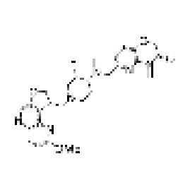 COc1ccc2ncc3c(c2n1)C(CN1CC[C@@H](NCc2ccc4c(n2)NC(=O)CO4)[C@@H](F)C1)CO3